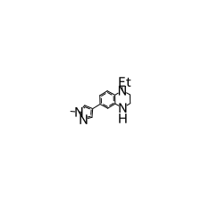 CCN1CCNc2cc(-c3cnn(C)c3)ccc21